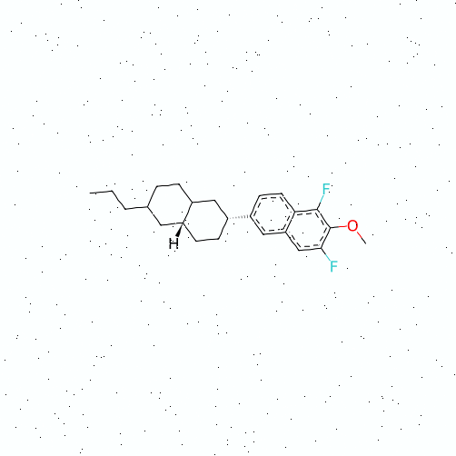 CCCC1CCC2C[C@H](c3ccc4c(F)c(OC)c(F)cc4c3)CC[C@@H]2C1